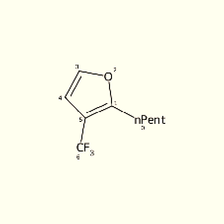 CCCCCc1occc1C(F)(F)F